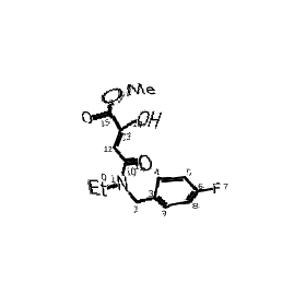 CCN(Cc1ccc(F)cc1)C(=O)C=C(O)C(=O)OC